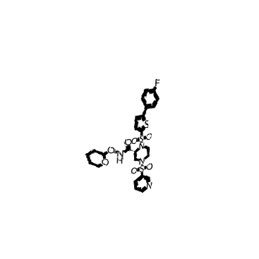 O=C(NOC1CCCCO1)[C@H]1CN(S(=O)(=O)c2cccnc2)CCN1S(=O)(=O)c1ccc(-c2ccc(F)cc2)s1